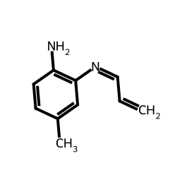 C=C/C=N\c1cc(C)ccc1N